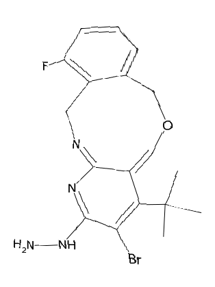 CC(C)(C)c1c(Br)c(NN)nc2c1=COCc1cccc(F)c1CN=2